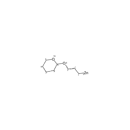 [Zn][CH2]CCOC1CCCCO1